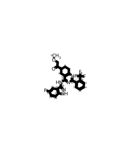 COCC(=O)C1CCc2nc(-c3ccccc3C(F)(F)F)nc(Nc3n[nH]c4ccc(F)cc34)c2C1